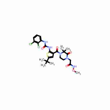 CONC(=O)CN1CCN(C(=O)c2cc(C(C)(C)C)sc2NC(=O)Nc2cccc(Cl)c2Cl)C(C)(C)C1=O